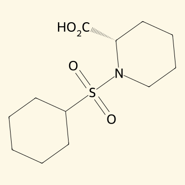 O=C(O)[C@@H]1CCCCN1S(=O)(=O)C1CCCCC1